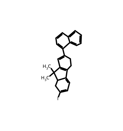 CC1(C)C2=C(CCC(c3cccc4ccccc34)=C2)C2=CC=C(I)CC21